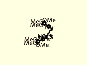 COc1cc(-c2ccc(N(C)CCCCCCN(C)c3ccc(-c4cc(OC)c(OC)c(OC)c4)nc3)cn2)cc(OC)c1OC.CS(=O)(=O)O.CS(=O)(=O)O